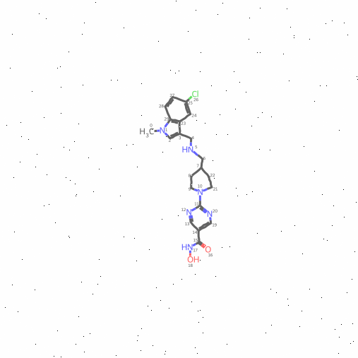 Cn1cc(CNCC2CCN(c3ncc(C(=O)NO)cn3)CC2)c2cc(Cl)ccc21